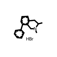 Br.CC1Cc2cccc(-c3ccccc3)c2CN1C